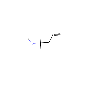 C=CCC(C)(C=O)NC(=O)O